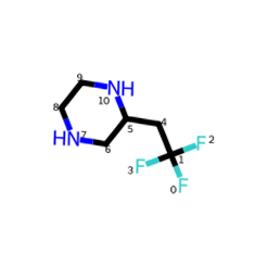 FC(F)(F)CC1CNCCN1